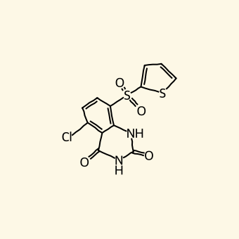 O=c1[nH]c(=O)c2c(Cl)ccc(S(=O)(=O)c3cccs3)c2[nH]1